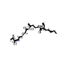 C=C/C(=C\C=C\CC)C(=O)NCCC(=C)NC(=O)CO/C=C/C=C(/Cl)C(=C)F